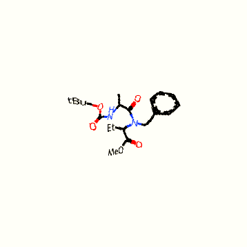 CCC(C(=O)OC)N(Cc1ccccc1)C(=O)C(C)NC(=O)OC(C)(C)C